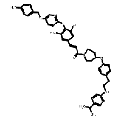 Cc1ccc(COc2ccc(Oc3c(C)cc(/C=C/C(=O)N4CCC(Nc5ccc(CCNc6ccc(C(C)C)cc6)cc5)CC4)cc3Cl)nc2)cc1